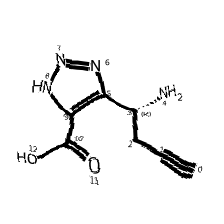 C#CC[C@@H](N)c1nn[nH]c1C(=O)O